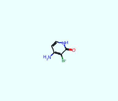 Nc1cc[nH]c(=O)c1Br